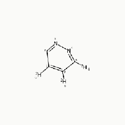 [2H]c1cnnc([2H])c1[2H]